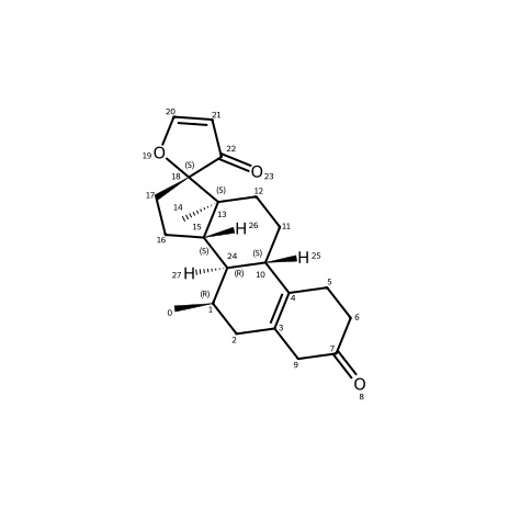 C[C@@H]1CC2=C(CCC(=O)C2)[C@H]2CC[C@@]3(C)[C@@H](CC[C@]34OC=CC4=O)[C@H]12